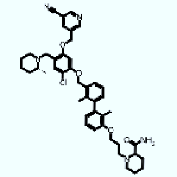 Cc1c(COc2cc(OCc3cncc(C#N)c3)c(CN3CCCC[C@H]3C)cc2Cl)cccc1-c1cccc(OCCCN2CCCCC2C(N)=O)c1C